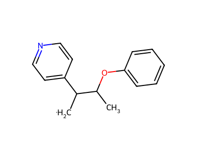 [CH2]C(c1ccncc1)C(C)Oc1ccccc1